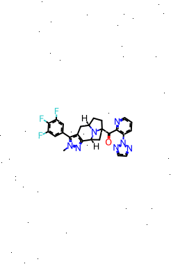 Cn1nc2c(c1-c1cc(F)c(F)c(F)c1)C[C@@H]1CCC3(C(=O)c4ncccc4-n4nccn4)C[C@H]2N13